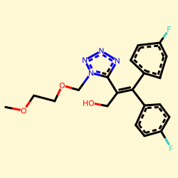 COCCOCn1nnnc1C(CO)=C(c1ccc(F)cc1)c1ccc(F)cc1